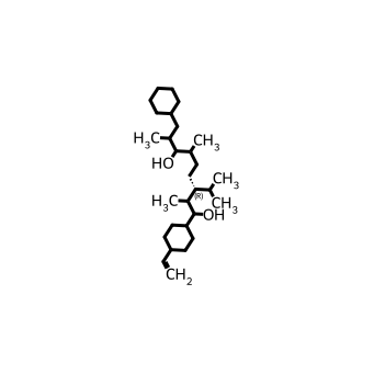 C=CC1CCC(C(O)C(C)[C@H](CCC(C)C(O)C(C)CC2CCCCC2)C(C)C)CC1